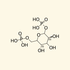 O=P(O)(O)OCC1OC(OP(=O)(O)O)[C@@H](O)C(O)[C@@H]1O